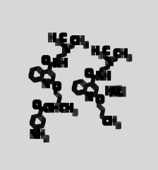 CCCCOc1cc(C(=O)NCCN(CC)CC)c2ccccc2n1.CCCCOc1cc(C(=O)NCCN(CC)CC)c2ccccc2n1.Cl.Cl.Nc1ccc(C(=O)O)cc1